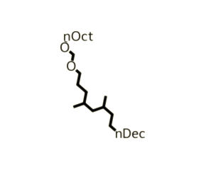 CCCCCCCCCCCCC(C)CC(C)CCCOCOCCCCCCCC